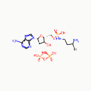 CCC(N)CCNP(=O)(O)OC[C@H]1O[C@@H](n2cnc3c(N)ncnc32)C[C@@H]1O.O=P(O)(O)OP(=O)(O)O